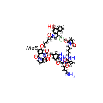 COc1cc2c(cc1OCCCCCC(=O)N1C[C@@H](CCl)c3c1cc(O)c1ccccc31)N(C(=O)OCc1ccc(NC(=O)[C@H](CCCCN)NC(=O)C3(C(=O)NCCCCCN4C(=O)C=CC4=O)CCC3)cc1)C(O)[C@@H]1CCCN1C2=O